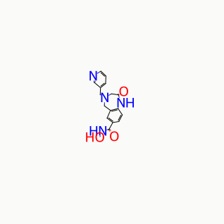 O=C1CN(Cc2cccnc2)Cc2cc(C(=O)NO)ccc2N1